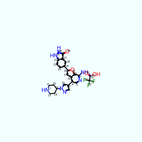 Nc1ncc(-c2cnn(C3CCNCC3)c2)c2cc(-c3ccc4[nH][nH]c(=O)c4c3)oc12.O=C(O)C(F)(F)F